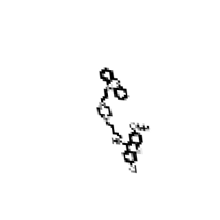 COc1ccc2nc3cc(Cl)ccc3c(NCCCCN3CCN(CCCN4c5ccccc5Sc5ccccc54)CC3)c2c1